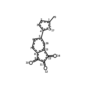 Cc1ccc(-c2ccc3c(=O)c(=O)c(=O)c3c2)s1